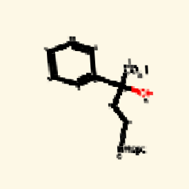 CCCCCCCCCC(O)(C(=O)O)c1ccccc1